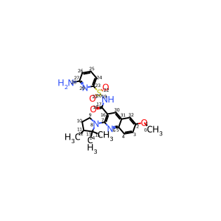 COc1ccc2nc(N3CCC(C)C3(C)C)c(C(=O)NS(=O)(=O)c3cccc(N)n3)cc2c1